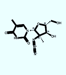 Cc1cn([C@@H]2O[C@H](CO)[C@@H](O)[C@@]2(C)N=[N+]=[N-])c(=O)[nH]c1=O